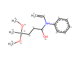 C=CN(c1ccccc1)C(O)CC[Si](C)(OC)OC